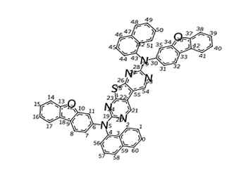 c1ccc2c(N(c3ccc4c(c3)oc3ccccc34)c3ncc4c(n3)sc3nc(N(c5ccc6c(c5)oc5ccccc56)c5cccc6ccccc56)ncc34)cccc2c1